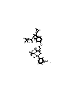 CO[C@@H](CN(CCOc1ccc2c(C3CC3)nn(C(=O)OC(C)(C)C)c2c1)C(=O)OC(C)(C)C)c1cccc(N)c1